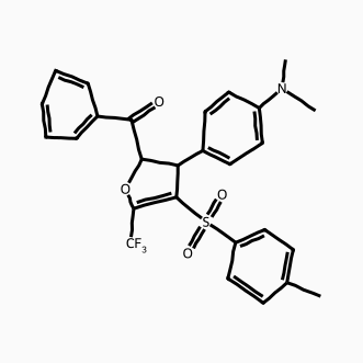 Cc1ccc(S(=O)(=O)C2=C(C(F)(F)F)OC(C(=O)c3ccccc3)C2c2ccc(N(C)C)cc2)cc1